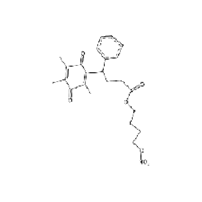 CC1=C(C)C(=O)C(C(CCC(=O)OCCCCO[N+](=O)[O-])c2ccccc2)=C(C)C1=O